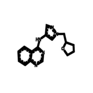 c1ccc2c(Nc3cnn(CC4CCCO4)c3)ncnc2c1